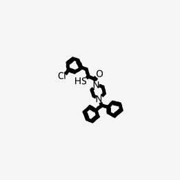 O=C(C(S)Cc1cccc(Cl)c1)N1CCN(C(c2ccccc2)c2ccccc2)CC1